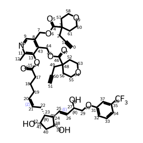 C#CCC1(C(=O)OCc2cnc(C)c(OC(=O)CCC/C=C\C[C@@H]3[C@@H](/C=C/[C@@H](O)COc4cccc(C(F)(F)F)c4)[C@H](O)C[C@@H]3O)c2COC(=O)C2(CC#C)CCOCC2)CCOCC1